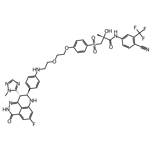 Cn1ncnc1[C@H]1c2n[nH]c(=O)c3cc(F)cc(c23)N[C@@H]1c1ccc(NCCOCCOc2ccc(S(=O)(=O)C[C@](C)(O)C(=O)Nc3ccc(C#N)c(C(F)(F)F)c3)cc2)cc1